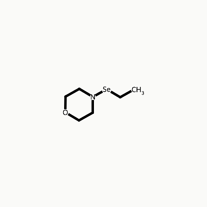 CC[Se]N1CCOCC1